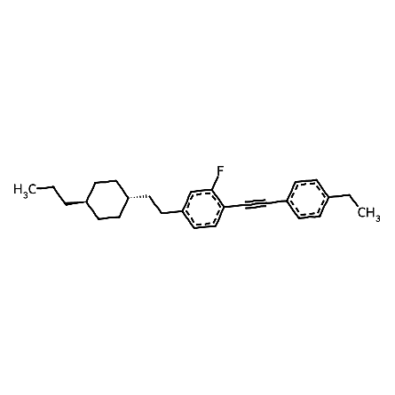 CCC[C@H]1CC[C@H](CCc2ccc(C#Cc3ccc(CC)cc3)c(F)c2)CC1